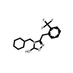 OC1ON=C(Cc2ccccc2C(F)(F)F)N1CC1CCCCC1